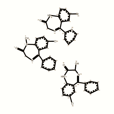 CN1C(=O)CN=C(c2ccccc2)c2cc(Cl)ccc21.O=C1CN=C(c2ccccn2)c2cc(Br)ccc2N1.O=C1Nc2ccc(Cl)cc2C(c2ccccc2)=NC1O